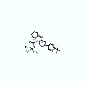 CC(C)(C)OC(=O)N[C@@H]1CCCC[C@H]1N[C@H]1CCCN(c2cnc(C(F)(F)F)nc2)C1